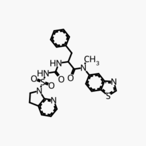 CN(C(=O)C(Cc1ccccc1)NC(=O)NS(=O)(=O)N1CCc2cccnc21)c1ccc2scnc2c1